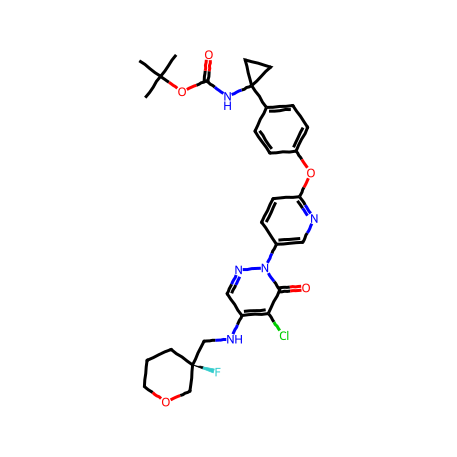 CC(C)(C)OC(=O)NC1(c2ccc(Oc3ccc(-n4ncc(NC[C@@]5(F)CCCOC5)c(Cl)c4=O)cn3)cc2)CC1